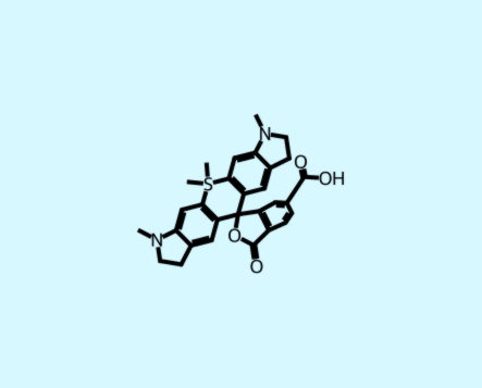 CN1CCc2cc3c(cc21)S(C)(C)c1cc2c(cc1C31OC(=O)c3ccc(C(=O)O)cc31)CCN2C